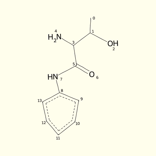 CC(O)C(N)C(=O)Nc1ccccc1